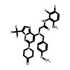 COc1ccc(CN(CC(=O)Nc2c(N)ccc(F)c2F)c2cc(N3CCC(=O)CC3)nn3c(C(F)(F)F)cnc23)cc1